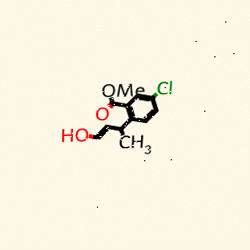 COC(=O)c1cc(Cl)ccc1C(C)C=CO